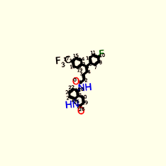 O=C(C=CC=C(c1ccc(F)cc1)c1ccc(C(F)(F)F)cc1)Nc1cccc2[nH]c(=O)ccc12